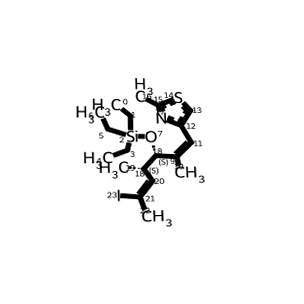 CC[Si](CC)(CC)O[C@H](C(C)=Cc1csc(C)n1)[C@@H](C)C=C(C)I